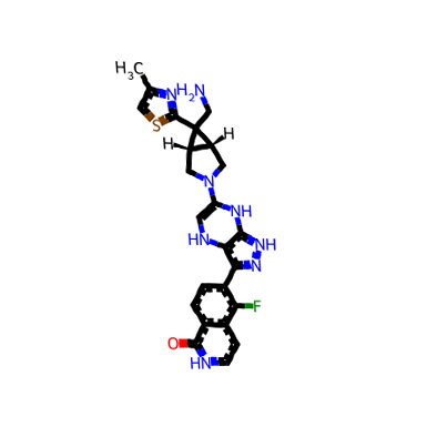 Cc1csc(C2(CN)[C@@H]3CN(C4=CNc5c(-c6ccc7c(=O)[nH]ccc7c6F)n[nH]c5N4)C[C@@H]32)n1